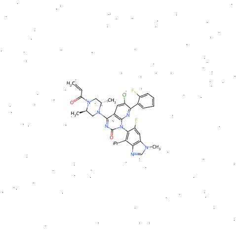 C=CC(=O)N1C[C@H](C)N(c2nc(=O)n(-c3c(F)cc4c(ncn4C)c3C(C)C)c3nc(-c4ccccc4F)c(Cl)cc23)C[C@H]1C